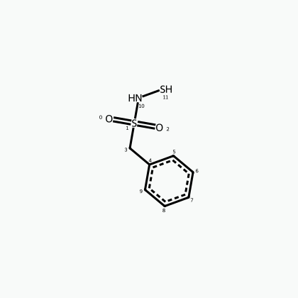 O=S(=O)(Cc1ccccc1)NS